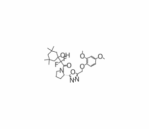 COc1ccc(OCc2nnc([C@@H]3CCCN3C(=O)C(F)(F)C3(O)CC(C)(C)CC(C)(C)C3)o2)c(OC)c1